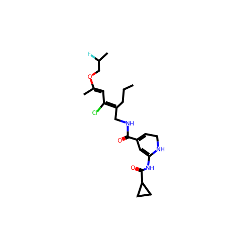 CCC/C(CNC(=O)C1=CCNC(NC(=O)C2CC2)=C1)=C(Cl)\C=C(/C)OCC(C)F